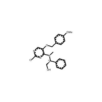 COc1ccc(COc2cnc(Cl)nc2N(C)[C@H](CO)c2ccccc2)cc1